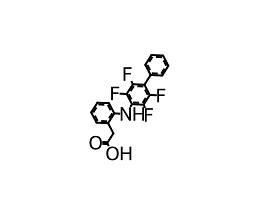 O=C(O)Cc1ccccc1Nc1c(F)c(F)c(-c2ccccc2)c(F)c1F